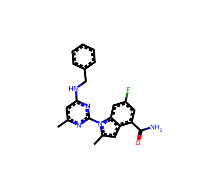 Cc1cc(NCc2ccccc2)nc(-n2c(C)cc3c(C(N)=O)cc(F)cc32)n1